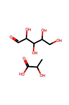 CC(O)C(=O)O.O=CC(O)C(O)C(O)CO